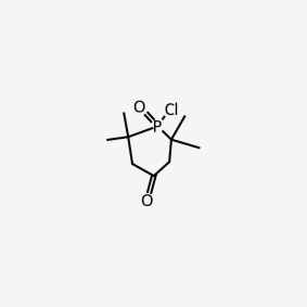 CC1(C)CC(=O)CC(C)(C)P1(=O)Cl